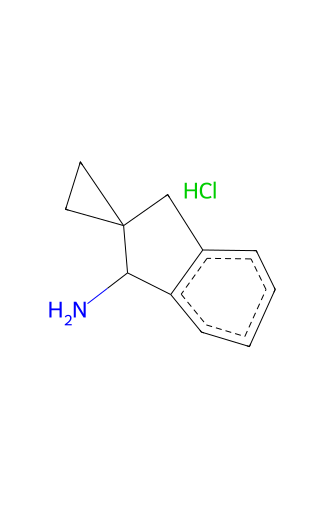 Cl.NC1c2ccccc2CC12CC2